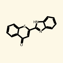 O=c1cc(-c2nc3ccccc3[nH]2)sc2ccccc12